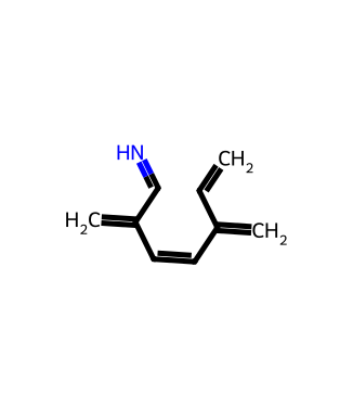 C=CC(=C)/C=C\C(=C)C=N